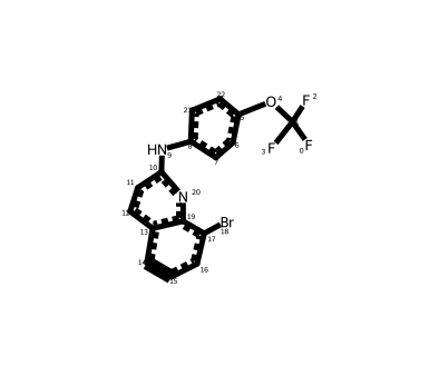 FC(F)(F)Oc1ccc(Nc2ccc3c#ccc(Br)c3n2)cc1